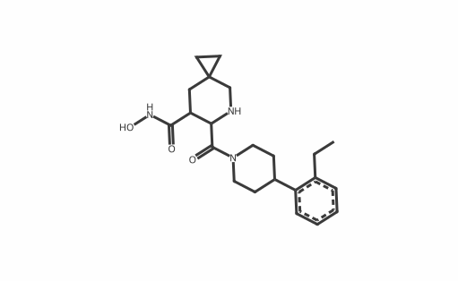 CCc1ccccc1C1CCN(C(=O)C2NCC3(CC3)CC2C(=O)NO)CC1